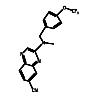 CN(Cc1ccc(OC(F)(F)F)cc1)c1cnc2ccc(C#N)cc2n1